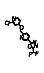 FC(F)c1nnc(-c2ccc(COc3ccnc(Cl)c3)nc2)o1